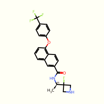 C[C@@H](NC(=O)c1ccc2c(Oc3ccc(C(F)(F)F)cc3)cccc2c1)C1(F)CNC1